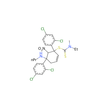 CCCNC1(c2ccc(Cl)cc2Cl)CC=CC(SC(=S)N(C)CC)(c2ccc(Cl)cc2Cl)C1[N+](=O)[O-]